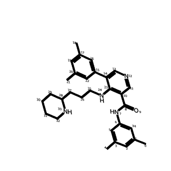 Cc1cc(C)cc(NC(=O)c2cncc(-c3cc(C)cc(C)c3)c2NCCCC2CCCCN2)c1